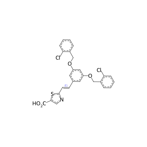 O=C(O)c1cnc(/C=C/c2cc(OCc3ccccc3Cl)cc(OCc3ccccc3Cl)c2)s1